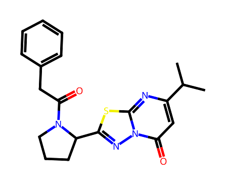 CC(C)c1cc(=O)n2nc(C3CCCN3C(=O)Cc3ccccc3)sc2n1